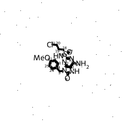 COc1ccc(Cn2c(=O)[nH]c3c(N)nc(S(=N)(=O)CCCCl)nc32)cc1